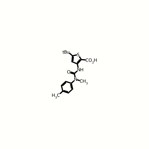 Cc1ccc(N(C)C(=O)Nc2cc(C(C)(C)C)sc2C(=O)O)cc1